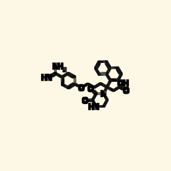 N=C(N)c1ccc(OCCCC(CC(=O)O)(c2cccc3ccccc23)N2CCNC(=O)C2=O)cc1